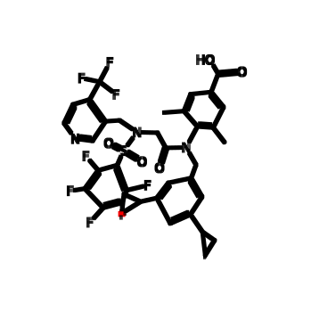 Cc1cc(C(=O)O)cc(C)c1N(Cc1cc(C2CC2)cc(C2CC2)c1)C(=O)CN(Cc1cnccc1C(F)(F)F)S(=O)(=O)c1c(F)c(F)c(F)c(F)c1F